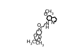 COc1cc(NCCC(=O)N2CCC3(CC2)OCC(C)(C)OO3)c2ncccc2c1